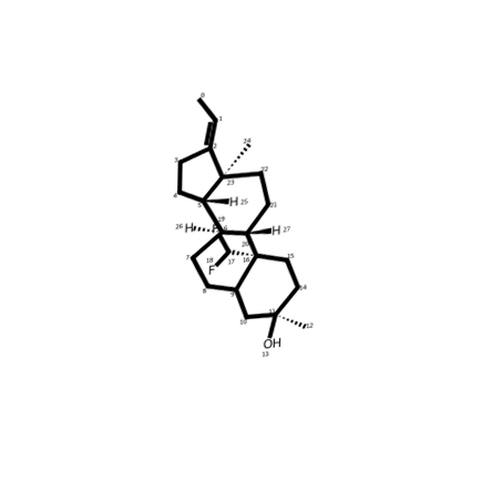 CC=C1CC[C@H]2[C@@H]3CCC4C[C@](C)(O)CC[C@]4(C(F)F)[C@H]3CC[C@]12C